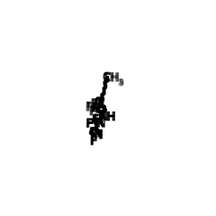 CCCCCCCCOc1ccc(Nc2nc(-c3ccc(F)nc3)c(F)s2)cc1C(F)(F)F